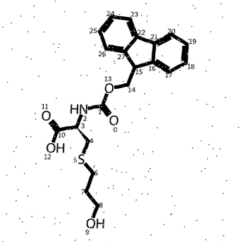 O=C(N[C@@H](CSCCCO)C(=O)O)OCC1c2ccccc2-c2ccccc21